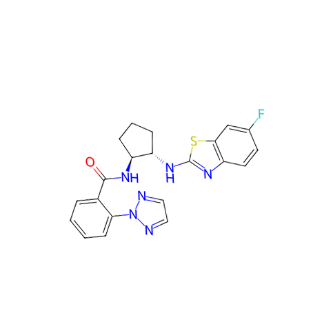 O=C(N[C@H]1CCC[C@@H]1Nc1nc2ccc(F)cc2s1)c1ccccc1-n1nccn1